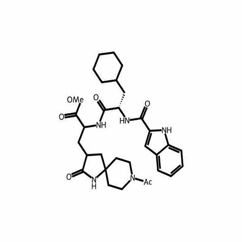 COC(=O)C(CC1CC2(CCN(C(C)=O)CC2)NC1=O)NC(=O)[C@H](CC1CCCCC1)NC(=O)c1cc2ccccc2[nH]1